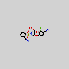 N#Cc1ccc(O[C@H]2CN(S(=O)(=O)c3ccccc3C#N)C[C@@]2(O)CO)cc1F